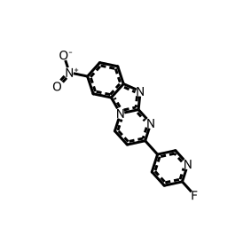 O=[N+]([O-])c1ccc2nc3nc(-c4ccc(F)nc4)ccn3c2c1